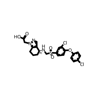 O=C(O)Cn1ncc2c1CCC[C@H]2NCS(=O)(=O)c1ccc(Oc2ccc(Cl)cc2)c(Cl)c1